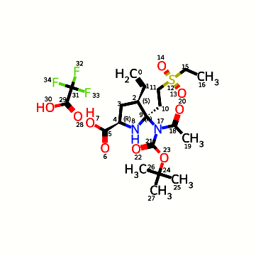 C=C[C@@H]1C[C@H](C(=O)O)N[C@]1(CCS(=O)(=O)CC)N(C(C)=O)C(=O)OC(C)(C)C.O=C(O)C(F)(F)F